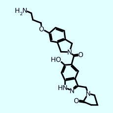 NCCCOc1ccc2c(c1)CN(C(=O)c1cc3c(CN4CCCC4=O)n[nH]c3cc1O)C2